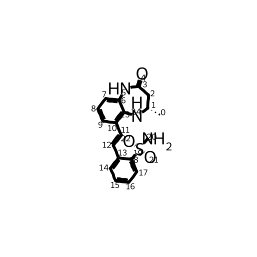 C[C@H]1CC(=O)Nc2cccc(C=Cc3ccccc3S(N)(=O)=O)c2N1